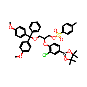 COc1ccc(C(OCC(COS(=O)(=O)c2ccc(C)cc2)Oc2ccc(B3OC(C)(C)C(C)(C)O3)cc2Cl)(c2ccccc2)c2ccc(OC)cc2)cc1